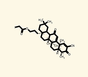 C[C@@H]1C(=O)C(C#N)=C[C@]2(C)C3=CC(=O)C4C5CC(C)(C)CC[C@]5(CCCOC(=O)CI)CC[C@@]4(C)[C@]3(C)CC[C@@H]12